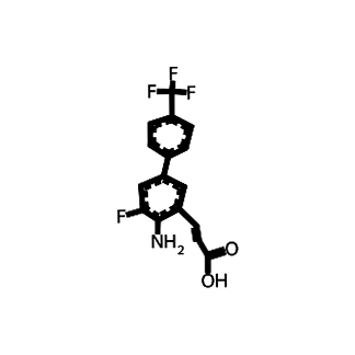 Nc1c(F)cc(-c2ccc(C(F)(F)F)cc2)cc1C=CC(=O)O